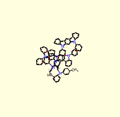 CC1C=CC(N2/C3=C/C(n4c5ccccc5c5cc6c7ccccc7n(-c7ccccc7)c6cc54)=C\C(=C\Bc4ccccc42)N(c2ccccc2)c2cc4c(cc23)B2c3ccccc3N(c3ccccc3)c3cc(-n5c6ccccc6c6cc7c8ccccc8n(-c8ccccc8)c7cc65)cc(c32)N4c2ccccc2)=CC1